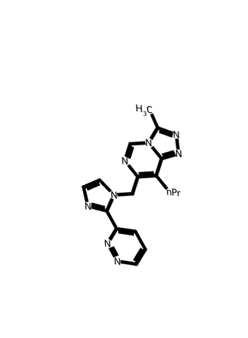 CCCc1c(Cn2ccnc2-c2cccnn2)ncn2c(C)nnc12